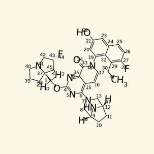 [2H]C([2H])(Oc1nc(N2C[C@H]3CC[C@@H](C2)N3)c2ccn(-c3cc(O)cc4ccc(F)c(CC)c34)c(=O)c2n1)[C@@]12CCCN1C[C@H](F)C2